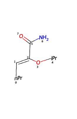 CCCC=C(OC(C)C)C(N)=O